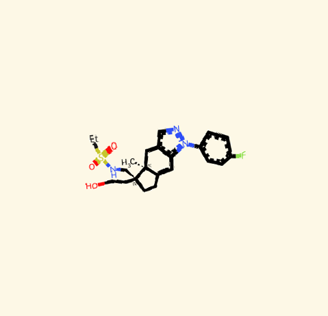 CCS(=O)(=O)NC[C@]1(CCO)CCC2=Cc3c(cnn3-c3ccc(F)cc3)C[C@@]21C